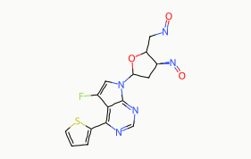 O=NCC1OC(n2cc(F)c3c(-c4cccs4)ncnc32)C[C@@H]1N=O